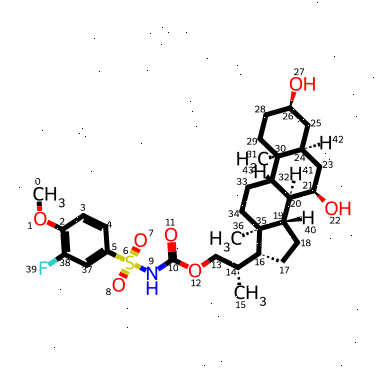 COc1ccc(S(=O)(=O)NC(=O)OC[C@@H](C)[C@H]2CC[C@H]3[C@@H]4[C@H](O)C[C@@H]5C[C@H](O)CC[C@]5(C)[C@H]4CC[C@]23C)cc1F